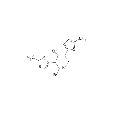 Cc1ccc(C(CBr)C(=O)C(CBr)c2ccc(C)s2)s1